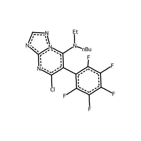 CCCCN(CC)c1c(-c2c(F)c(F)c(F)c(F)c2F)c(Cl)nc2ncnn12